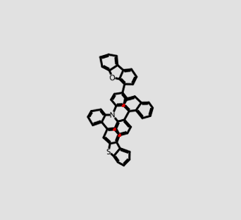 c1ccc(N(c2ccc(-c3cccc4c3oc3ccccc34)cc2)c2ccccc2-c2cccc3ccccc23)c(-c2ccc3c(c2)sc2ccccc23)c1